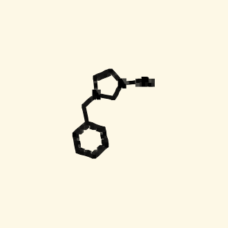 CCCCN1C=CN(Cc2ccccc2)C1